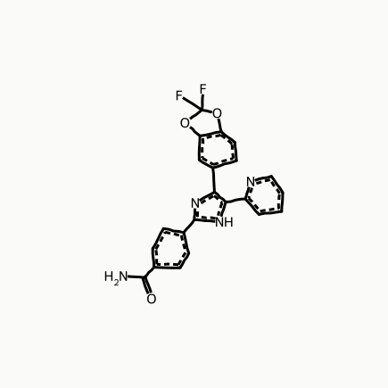 NC(=O)c1ccc(-c2nc(-c3ccc4c(c3)OC(F)(F)O4)c(-c3ccccn3)[nH]2)cc1